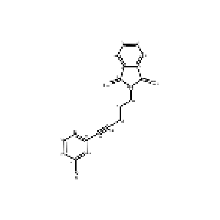 O=C1c2ccccc2C(=O)N1CCCC#Cc1cccc(Br)c1